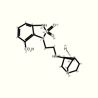 O=C(O)c1cccc2c1N(CCN[C@@H]1CN3CCC1CC3)S(=O)(=O)N2